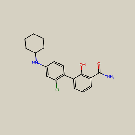 NC(=O)c1cccc(-c2ccc(NC3CCCCC3)cc2Cl)c1O